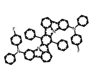 Fc1ccc(N(c2ccccc2)c2ccc3c4cccc5c6c(-c7ccccc7)c7c(c(-c8ccccc8)c6n(c3c2)c45)c2cccc3c4ccc(N(c5ccccc5)c5ccc(F)cc5)cc4n7c32)cc1